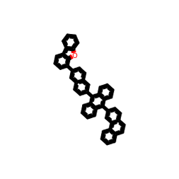 c1ccc2c(c1)ccc1ccc(-c3c4ccccc4c(-c4ccc5cc(-c6cccc7c6oc6ccccc67)ccc5c4)c4ccccc34)cc12